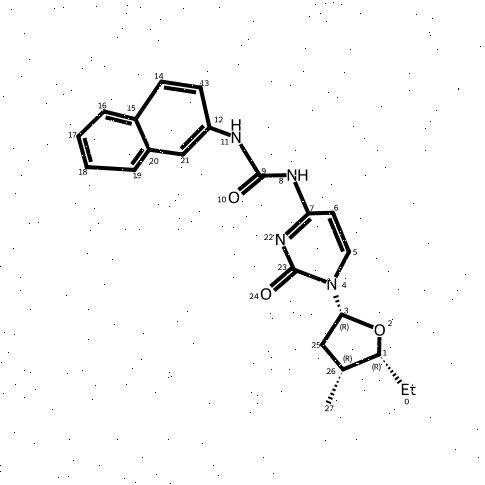 CC[C@H]1O[C@@H](n2ccc(NC(=O)Nc3ccc4ccccc4c3)nc2=O)C[C@H]1C